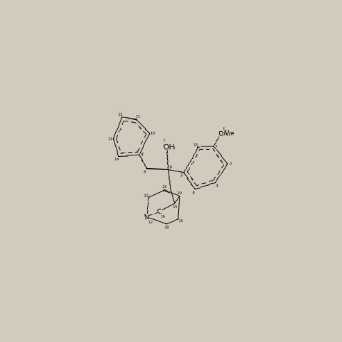 COc1cccc(C(O)(Cc2ccccc2)C2CN3CCC2CC3)c1